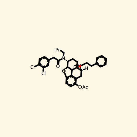 CC(=O)Oc1ccc2c3c1C[C@@H]1[C@@H]4CC[C@@H](N(CC(C)C)C(=O)Cc5ccc(Cl)c(Cl)c5)[C@H](O2)[C@]34CCN1CCc1ccccc1